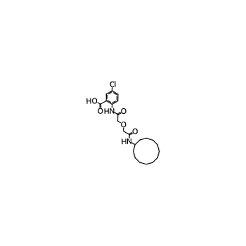 O=C(COCC(=O)NC1CCCCCCCCCCC1)Nc1ccc(Cl)cc1C(=O)O